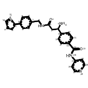 NC(CC(=O)NCc1ccc(-c2cccs2)cc1)c1ccc(C(=O)Nc2ccncc2)cc1